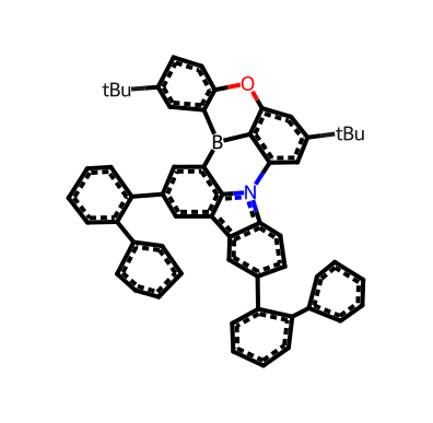 CC(C)(C)c1ccc2c(c1)B1c3c(cc(C(C)(C)C)cc3-n3c4ccc(-c5ccccc5-c5ccccc5)cc4c4cc(-c5ccccc5-c5ccccc5)cc1c43)O2